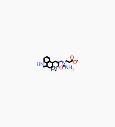 COC(=O)CCN(C[C@@H]1CC2c3cccc4[nH]cc(c34)C[C@H]2N(C)C1)C(N)=O